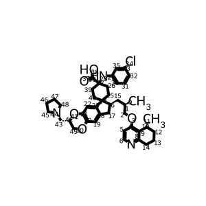 C[C@@H](COc1ccnc2c1[C@H](C)CCC2)C[C@H]1Cc2cc3c(cc2C12CCC(Nc1cccc(Cl)c1)(C(=O)O)CC2)O[C@@H](CN1CCCC1)CO3